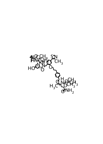 Cc1ncsc1-c1ccc(CNC(=O)[C@@H]2C[C@@H](O)CN2C(=O)[C@@H](NC(=O)C2(F)CC2)C(C)(C)C)c(OCCCc2ccc(CO[C@H](C)[C@H](CCC(N)=O)NC(=O)OC(C)(C)C)cc2)c1